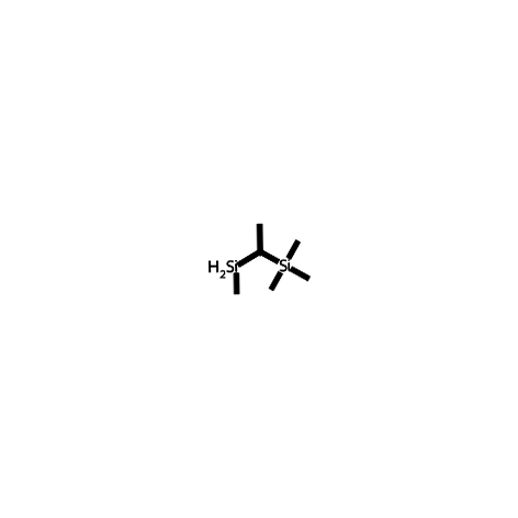 C[SiH2][C](C)[Si](C)(C)C